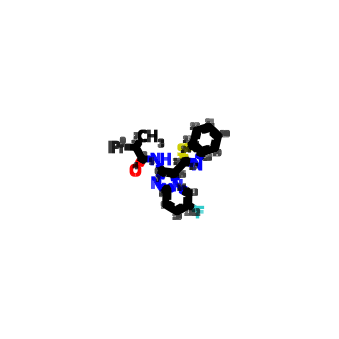 CC(C)C(C)C(=O)Nc1nc2ccc(F)cn2c1-c1nc2ccccc2s1